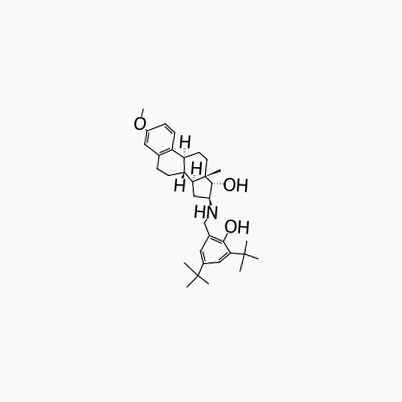 COc1ccc2c(c1)CC[C@@H]1[C@@H]2CC[C@]2(C)[C@H](O)[C@@H](NCc3cc(C(C)(C)C)cc(C(C)(C)C)c3O)C[C@@H]12